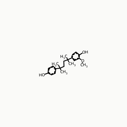 COc1cc(C(C)(C)CCC(C)(C)c2ccc(O)cc2)ccc1O